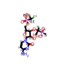 CCCC(F)(CC)P(=O)(O)OCC1OC(n2ccc(N)nc2=O)C(O)C1OC(C)(C)P(C)(=O)O